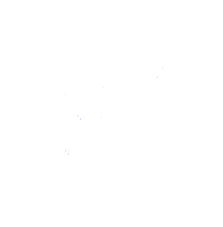 O=NCCn1cccc(CCc2ccc(Cl)cc2)c1=O